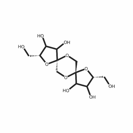 OC[C@H]1O[C@@]2(CO[C@]3(CO2)O[C@H](CO)C(O)C3O)C(O)C1O